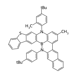 Cc1cc2c3c(c1)N(c1ccc(C(C)(C)C)cc1C)c1cc4sc5ccccc5c4cc1B3N(c1ccc(C(C)(C)C)cc1)c1cc3ccccc3cc1-2